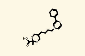 CC1(C(=O)O)OCC(CCCCN2C=COC(C3=CC=CCC3)=C2)CO1